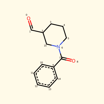 O=CC1CCCN(C(=O)c2ccccc2)C1